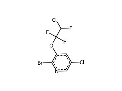 FC(Cl)C(F)(F)Oc1cc(Cl)cnc1Br